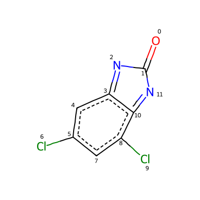 O=C1N=c2cc(Cl)cc(Cl)c2=N1